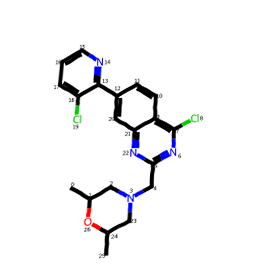 CC1CN(Cc2nc(Cl)c3ccc(-c4ncccc4Cl)cc3n2)CC(C)O1